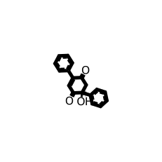 O=C1C[C@](O)(c2ccccc2)C(=O)C=C1c1ccccc1